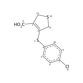 O=C(O)C1=C(Sc2ccc(Cl)cc2)CSC1